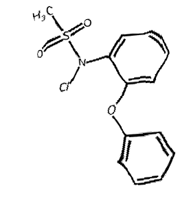 CS(=O)(=O)N(Cl)c1ccccc1Oc1ccccc1